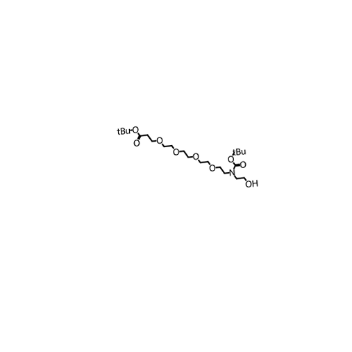 CC(C)(C)OC(=O)CCOCCOCCOCCOCCN(CCO)C(=O)OC(C)(C)C